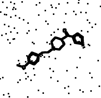 COc1ccc(CCN2CCC(C(=O)c3ccsc3)CC2)cc1